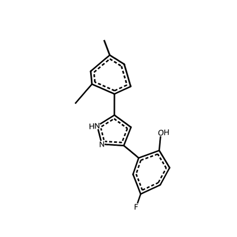 Cc1ccc(-c2cc(-c3cc(F)ccc3O)n[nH]2)c(C)c1